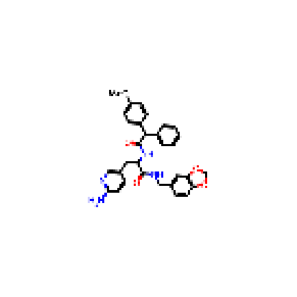 COc1ccc(C(C(=O)NC(Cc2ccc(N)nc2)C(=O)NCc2ccc3c(c2)OCO3)c2ccccc2)cc1